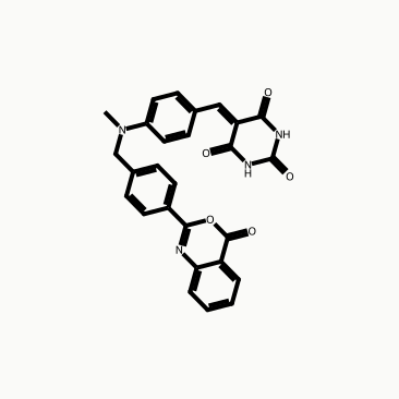 CN(Cc1ccc(-c2nc3ccccc3c(=O)o2)cc1)c1ccc(C=C2C(=O)NC(=O)NC2=O)cc1